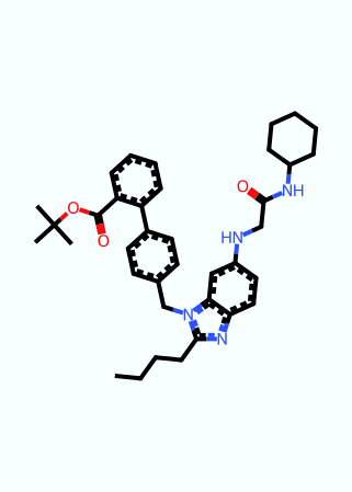 CCCCc1nc2ccc(NCC(=O)NC3CCCCC3)cc2n1Cc1ccc(-c2ccccc2C(=O)OC(C)(C)C)cc1